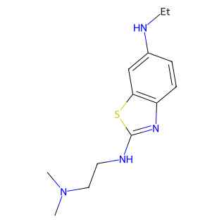 CCNc1ccc2nc(NCCN(C)C)sc2c1